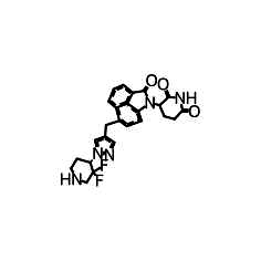 O=C1CCC(N2C(=O)c3cccc4c(Cc5cnn([C@H]6CCNCC6(F)F)c5)ccc2c34)C(=O)N1